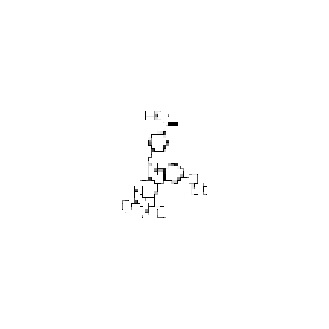 C=C(O)c1ccc(Cn2c3c(c4cc(OCC)ccc42)C2CN(C3)C(=O)N(C)C2=O)cc1